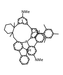 CNc1ccc(N2c3cc(-c4c(C)cc(C)cc4C)cc(c3S)-c3cc(NC)cc(c3C)C3(C)CCCCC3(C)Cc3ccc4c(c32)Bc2ccccc2-4)c(-c2ccccc2)c1